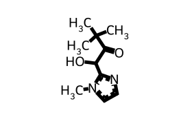 Cn1ccnc1C(O)C(=O)C(C)(C)C